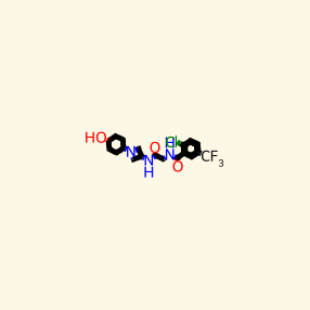 O=C(CNC(=O)c1cc(C(F)(F)F)ccc1Cl)NC1CN(C2CCC(O)CC2)C1